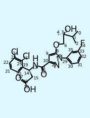 CC(C)[C@](C)(O)COc1cc(C(=O)N[C@@H](CC(=O)O)c2cccc(Cl)c2Cl)nn1-c1cccc(F)c1